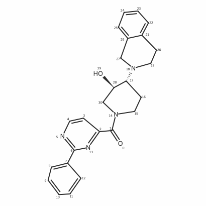 O=C(c1ccnc(-c2ccccc2)n1)N1CC[C@@H](N2CCc3ccccc3C2)[C@H](O)C1